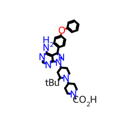 CC(C)(C)C1CC(n2nc(-c3ccc(Oc4ccccc4)cc3)c3c(N)ncnc32)CCN1C1CCN(C(=O)O)CC1